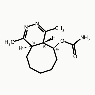 CC1=NN=C(C)[C@@H]2CCCCC[C@@H](OC(N)=O)[C@@H]12